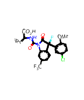 COc1ccc(Cl)cc1C1(F)C(=O)N(C(=O)NC(C(=O)O)C(C)C)c2cc(C(F)(F)F)ccc21